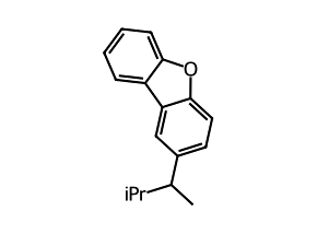 CC(C)C(C)c1ccc2oc3ccccc3c2c1